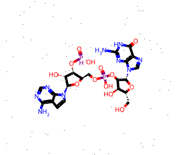 Nc1nc2c(ncn2[C@@H]2O[C@H](CO)[C@@H](O)C2OP(=O)(O)OC[C@H]2O[C@@H](n3ccc4c(N)ncnc43)[C@H](O)[C@@H]2O[PH](=O)O)c(=O)[nH]1